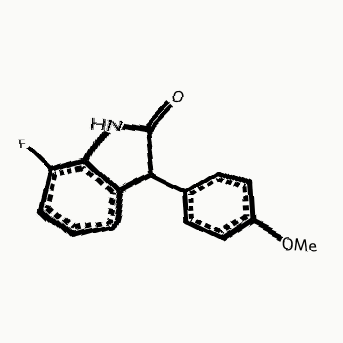 COc1ccc(C2C(=O)Nc3c(F)cccc32)cc1